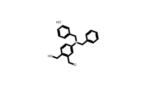 Cl.OCc1ccc(N(Cc2ccccc2)Cc2ccccc2)cc1CCl